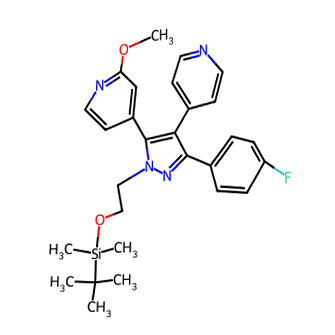 COc1cc(-c2c(-c3ccncc3)c(-c3ccc(F)cc3)nn2CCO[Si](C)(C)C(C)(C)C)ccn1